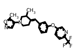 Cc1oncc1N1CCC(=Cc2cccc(Oc3ccc(C(F)(F)F)nc3)c2)C(C)C1